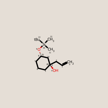 C=CC[C@]1(O)CCC[C@H](O[Si](C)(C)C(C)(C)C)C1